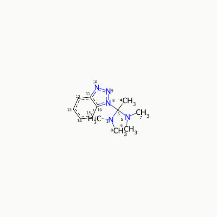 CN(C)C(C)(N(C)C)n1nnc2ccccc21